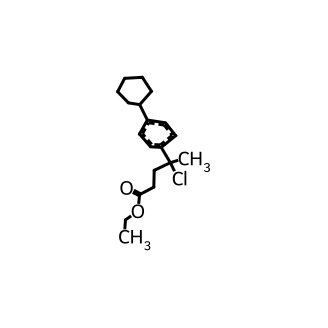 CCOC(=O)CCC(C)(Cl)c1ccc(C2CCCCC2)cc1